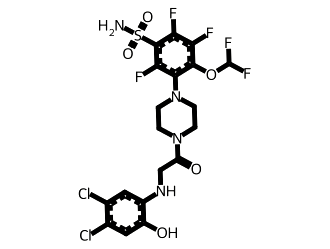 NS(=O)(=O)c1c(F)c(F)c(OC(F)F)c(N2CCN(C(=O)CNc3cc(Cl)c(Cl)cc3O)CC2)c1F